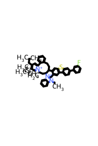 C=C1CC2C(CCc3ccccc3-c3cc(CC(C)C)c([Si](C)(C)C)c[n+]31)c1cc3sc4cc(-c5cccc(F)c5)ccc4c3cc1-c1n(CC)c3ccccc3[n+]12